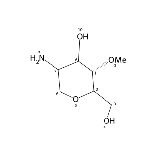 CO[C@@H]1C(CO)OCC(N)C1O